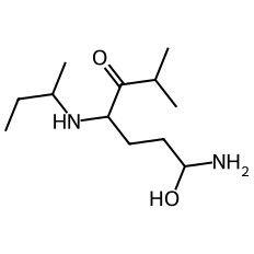 CCC(C)NC(CCC(N)O)C(=O)C(C)C